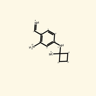 N#CC1(Nc2ccc(C=N)c(N)c2)CCC1